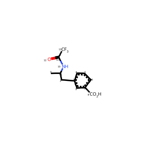 CC(Cc1cccc(C(=O)O)c1)NC(=O)C(F)(F)F